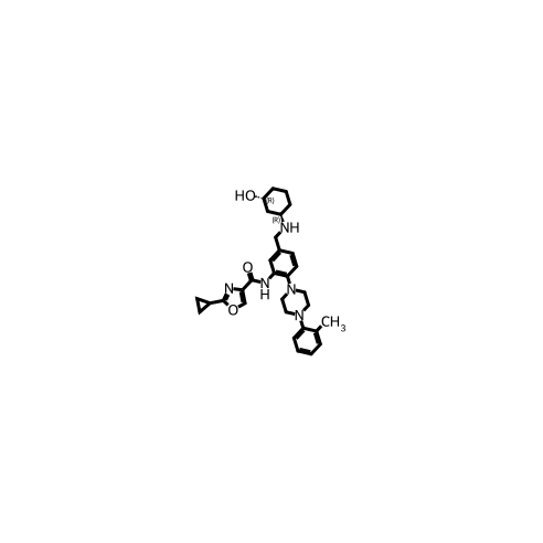 Cc1ccccc1N1CCN(c2ccc(CN[C@@H]3CCC[C@@H](O)C3)cc2NC(=O)c2coc(C3CC3)n2)CC1